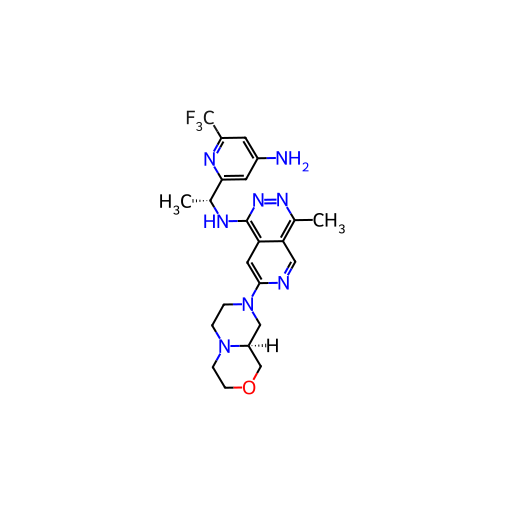 Cc1nnc(N[C@H](C)c2cc(N)cc(C(F)(F)F)n2)c2cc(N3CCN4CCOC[C@@H]4C3)ncc12